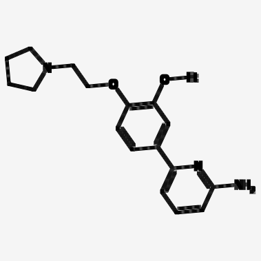 CCOc1cc(-c2cccc(N)n2)ccc1OCCN1CCCC1